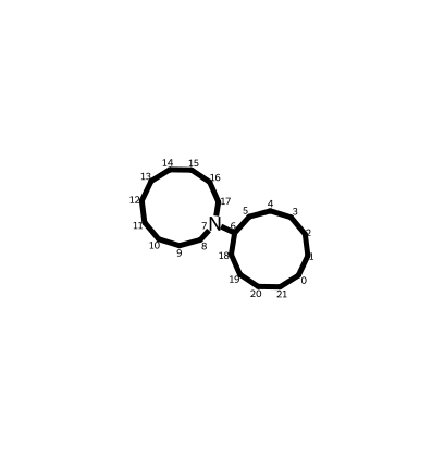 C1CCCCCC(N2CCCCCCCCCC2)CCCC1